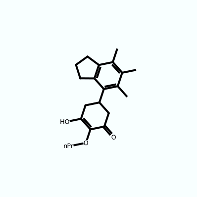 CCCOC1=C(O)CC(c2c(C)c(C)c(C)c3c2CCC3)CC1=O